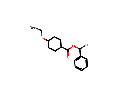 CCCCCCCCCCCOC1CCC(C(=O)OC(CC)c2ccccc2)CC1